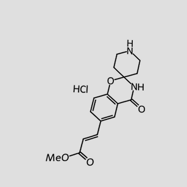 COC(=O)/C=C/c1ccc2c(c1)C(=O)NC1(CCNCC1)O2.Cl